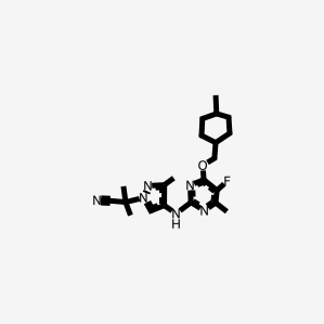 Cc1nn(C(C)(C)C#N)cc1Nc1nc(C)c(F)c(OCC2CCC(C)CC2)n1